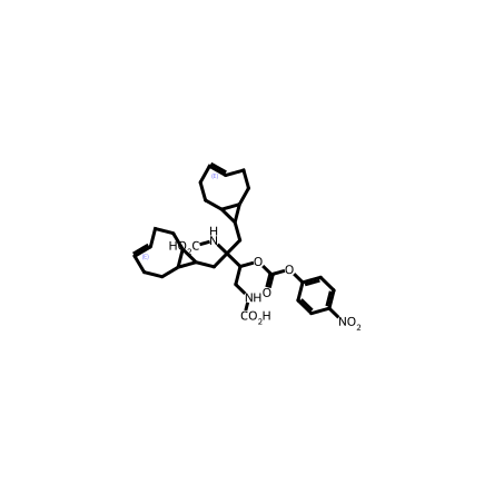 O=C(O)NCC(OC(=O)Oc1ccc([N+](=O)[O-])cc1)C(CC1C2CC/C=C/CCC21)(CC1C2CC/C=C/CCC21)NC(=O)O